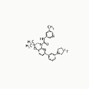 Cc1cncc(NC(=O)N2CC(C)(C)Oc3ccc(-c4cccc(N5CC[C@H](F)C5)c4)nc32)c1